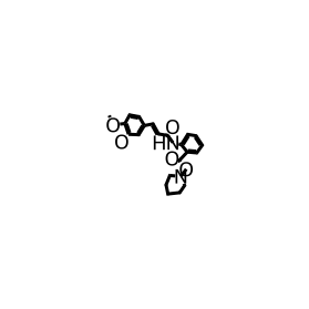 COc1ccc(/C=C/C(=O)Nc2ccccc2C(=O)ON2CCCCC2)cc1OC